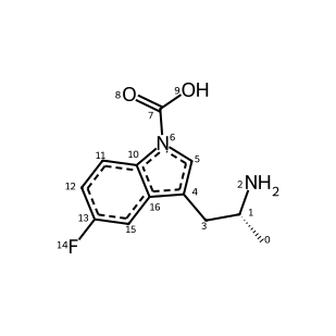 C[C@@H](N)Cc1cn(C(=O)O)c2ccc(F)cc12